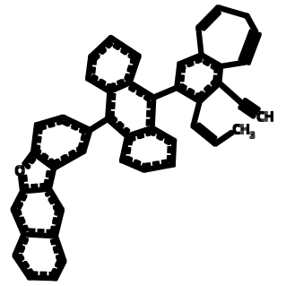 C#Cc1c2c(cc(-c3c4ccccc4c(-c4ccc5oc6cc7ccccc7cc6c5c4)c4ccccc34)c1/C=C\C)C=CCC#C2